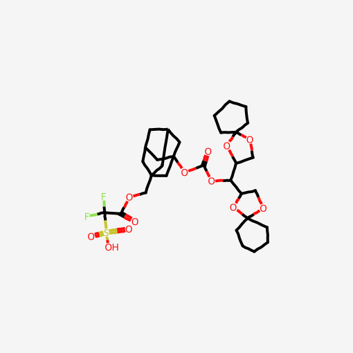 O=C(OC(C1COC2(CCCCC2)O1)C1COC2(CCCCC2)O1)OC12CC3CC(CC(COC(=O)C(F)(F)S(=O)(=O)O)(C3)C1)C2